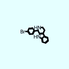 Brc1ccc(C2NCCc3c2[nH]c2ccccc32)cc1